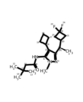 C[C@@H](c1nn(C)c(NC(=O)CC(C)(C)C)c1C1CCC1)C1CC(F)(F)C1